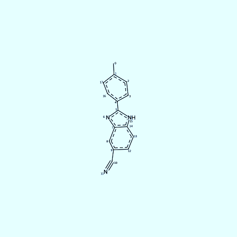 Cc1ccc(-c2nc3cc(C#N)ccc3[nH]2)cc1